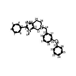 Cn1c(-c2ccccc2)nc2c1CN(Cc1cccc(Oc3ccccc3)c1)CC2